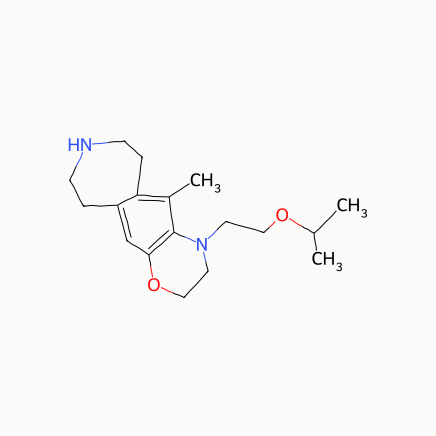 Cc1c2c(cc3c1N(CCOC(C)C)CCO3)CCNCC2